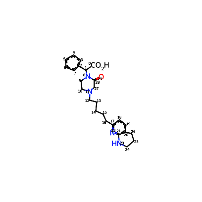 O=C(O)C(c1ccccc1)N1CCN(CCCCCc2ccc3c(n2)NCCC3)CC1=O